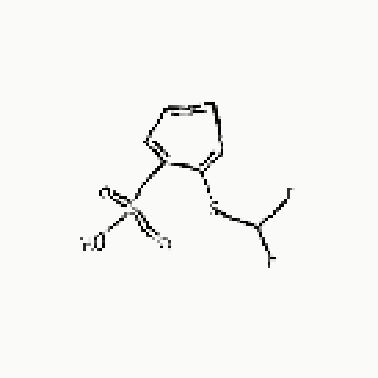 O=S(=O)(O)c1ccccc1SC(F)F